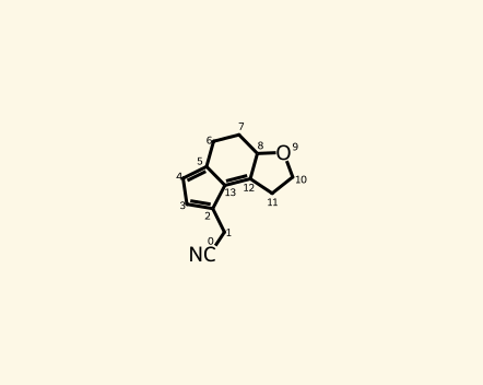 N#CCC1=CC=C2CCC3OCCC3=C12